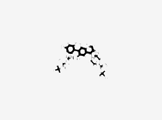 CC(C)(C)OC(=O)Nc1nc2c(-c3c(Cl)cc4c(ncc5nc6n(c54)CCN(C(=O)OC(C)(C)C)C6)c3F)c(F)cc(F)c2s1